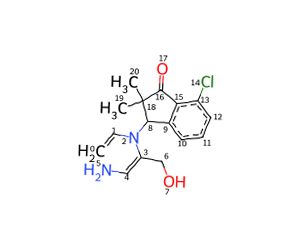 C=CN(/C(=C\N)CO)C1c2cccc(Cl)c2C(=O)C1(C)C